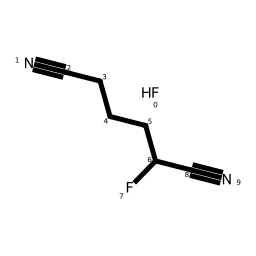 F.N#CCCCC(F)C#N